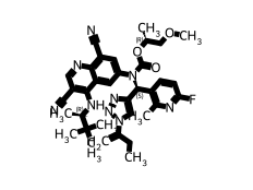 C=C(CC)n1cc([C@H](c2ccc(F)nc2C)N(C(=O)O[C@H](C)COC)c2cc(C#N)c3ncc(C#N)c(N[C@H](C)C(C)(C)C)c3c2)nn1